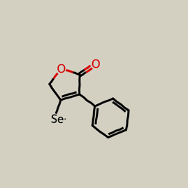 O=C1OCC([Se])=C1c1ccccc1